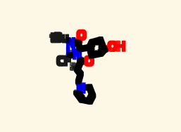 CC(C)(C)NC(=O)C(c1ccc(O)cc1)N(CC(F)(F)F)C(=O)CCCN1C=CC=CC1